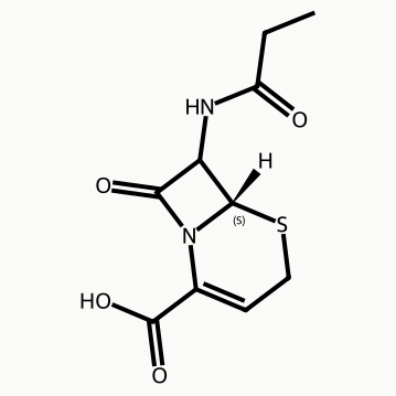 CCC(=O)NC1C(=O)N2C(C(=O)O)=CCS[C@@H]12